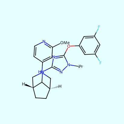 COc1cc(N2C[C@H]3CC[C@H](C2)C3Nc2nc(Oc3cc(F)cc(F)c3)n(C(C)C)n2)ccn1